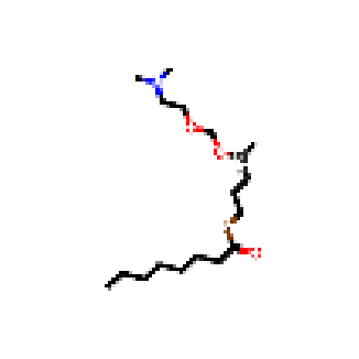 CCCCCCCC(=O)SCCC[SiH](C)OCOCCN(C)C